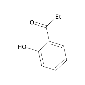 [CH2]CC(=O)c1ccccc1O